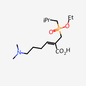 CCOP(=O)(CC(=CCCCN(C)C)C(=O)O)CC(C)C